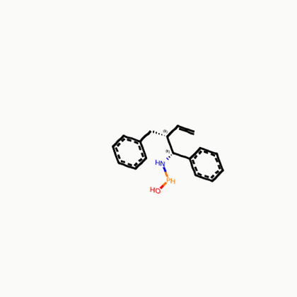 C=C[C@@H](Cc1ccccc1)[C@@H](NPO)c1ccccc1